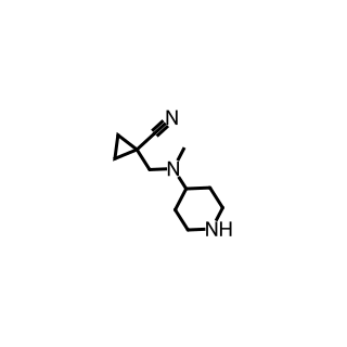 CN(CC1(C#N)CC1)C1CCNCC1